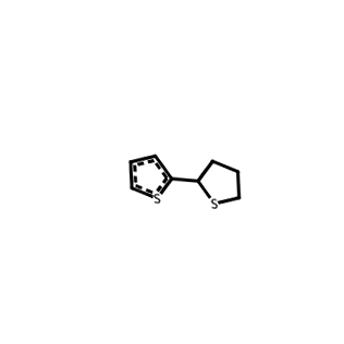 c1csc(C2CCCS2)c1